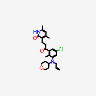 C=CCN(c1cc(Cl)cc(C(=O)CCc2c(C)cc(C)[nH]c2=O)c1C)C1CCOCC1